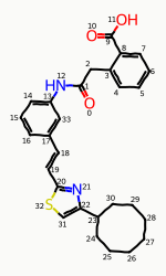 O=C(Cc1ccccc1C(=O)O)Nc1cccc(C=Cc2nc(C3CCCCCCC3)cs2)c1